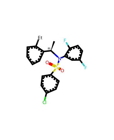 [CH2]Cc1ccccc1[C@@H](C)N(c1cc(F)ccc1F)S(=O)(=O)c1ccc(Cl)cc1